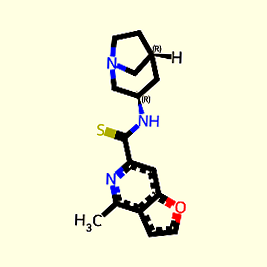 Cc1nc(C(=S)N[C@@H]2C[C@H]3CCN(C3)C2)cc2occc12